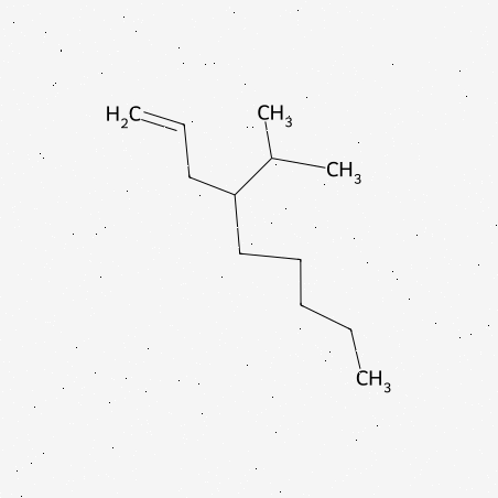 C=CCC(CCCCC)C(C)C